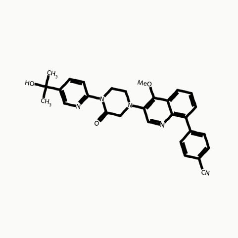 COc1c(N2CCN(c3ccc(C(C)(C)O)cn3)C(=O)C2)cnc2c(-c3ccc(C#N)cc3)cccc12